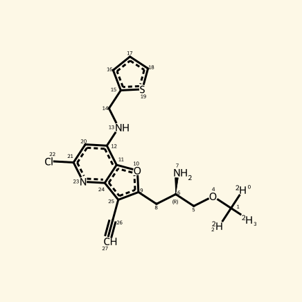 [2H]C([2H])([2H])OC[C@H](N)Cc1oc2c(NCc3cccs3)cc(Cl)nc2c1C#C